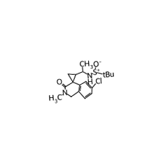 CC(N[S+]([O-])C(C)(C)C)C1CC12C(=O)N(C)Cc1ccc(Cl)cc12